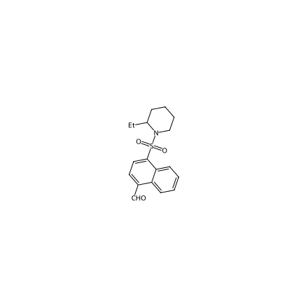 CCC1CCCCN1S(=O)(=O)c1ccc(C=O)c2ccccc12